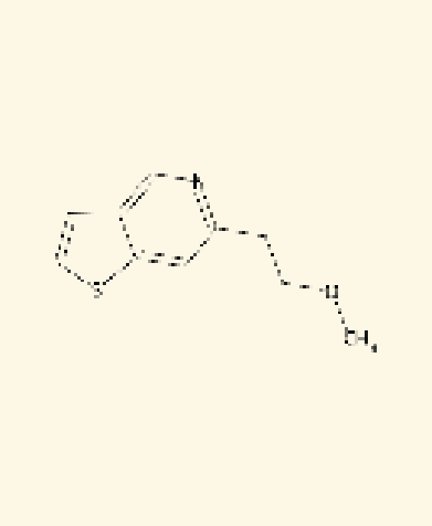 COCCc1cc2sccc2cn1